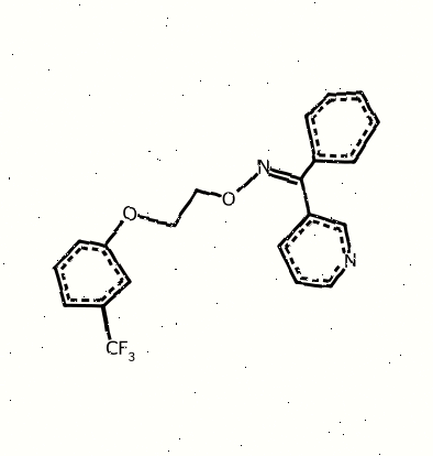 FC(F)(F)c1cccc(OCCON=C(c2ccccc2)c2cccnc2)c1